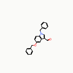 O=Cc1cn(Cc2ccccc2)c2ccc(OCc3ccccc3)cc12